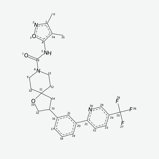 Cc1noc(NC(=O)N2CCC3(CC2)CC(c2cccc(-c4ccc(C(F)(F)F)cn4)c2)CO3)c1C